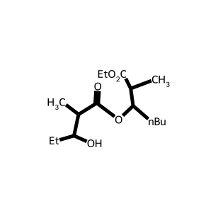 CCCCC(OC(=O)C(C)C(O)CC)C(C)C(=O)OCC